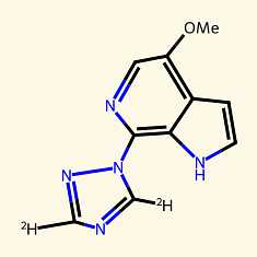 [2H]c1nc([2H])n(-c2ncc(OC)c3cc[nH]c23)n1